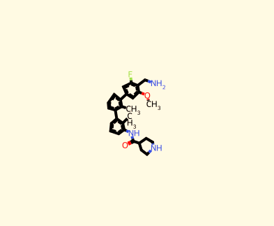 COc1cc(-c2cccc(-c3cccc(NC(=O)C4CCNCC4)c3C)c2C)cc(F)c1CN